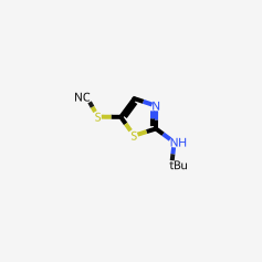 CC(C)(C)Nc1ncc(SC#N)s1